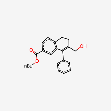 CCCCOC(=O)c1ccc2c(c1)C(c1ccccc1)=C(CO)CC2